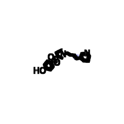 O=S(=O)(c1ccc(O)cc1)C1CCN(CC/C=C/c2cccnc2)C1